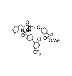 COC(=O)C1(c2ccc(OCCNC(=O)[C@@H]3Cc4ccccc4N3S(=O)(=O)c3ccc(-c4cc(C(F)(F)F)ccc4Cl)cc3)cc2)CC1